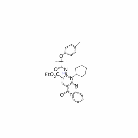 CCOC(=O)c1cc2c(=O)n3ccccc3nc2n(C2CCCCC2)/c1=N/C(=O)C(C)(C)Oc1ccc(C)cc1